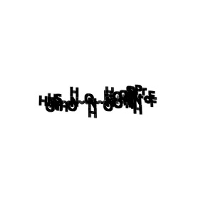 CCCSc1nc(N[C@@H]2C[C@H]2c2ccc(F)c(F)c2)c2nnn([C@@H]3C[C@H](OCCNC(=O)CCCCCNC(=O)CCCCCNC(=O)CCCC[C@@H]4SC[C@@H]5NC(=O)N[C@@H]54)[C@@H](O)[C@H]3O)c2n1